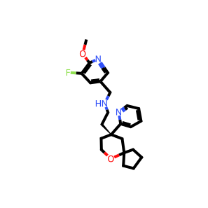 COc1ncc(CNCC[C@]2(c3ccccn3)CCOC3(CCCC3)C2)cc1F